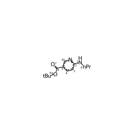 CCCNc1ccc(C(=O)OC(C)(C)C)cn1